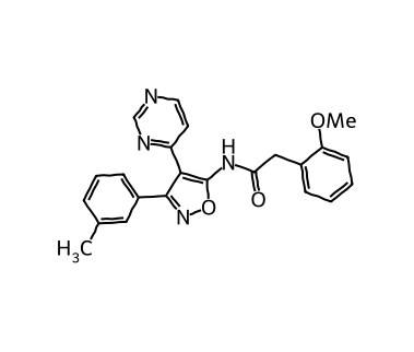 COc1ccccc1CC(=O)Nc1onc(-c2cccc(C)c2)c1-c1ccncn1